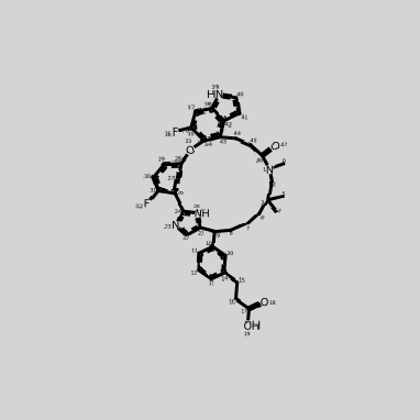 CN1CC(C)(C)CCCC(c2cccc(CCC(=O)O)c2)c2cnc([nH]2)-c2cc(ccc2F)Oc2c(F)cc3[nH]ccc3c2CCC1=O